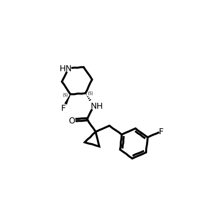 O=C(N[C@H]1CCNC[C@@H]1F)C1(Cc2cccc(F)c2)CC1